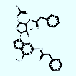 CNc1nc(NC(=O)Cc2ccccc2)nc2c1ncn2[C@@H]1O[C@H](OC(=O)C(C)C)[C@@H](OC(=O)Cc2ccccc2)[C@@]1(C)F